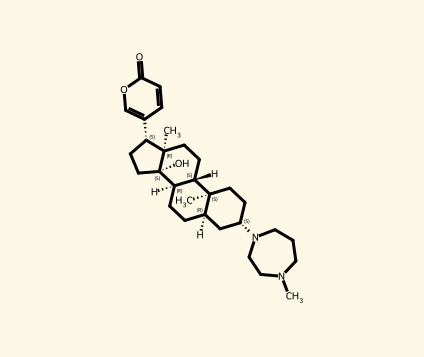 CN1CCCN([C@H]2CC[C@@]3(C)[C@H](CC[C@@H]4[C@@H]3CC[C@]3(C)[C@@H](c5ccc(=O)oc5)CC[C@]43O)C2)CC1